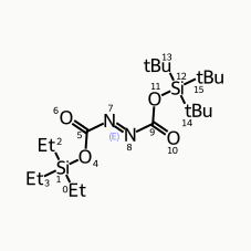 CC[Si](CC)(CC)OC(=O)/N=N/C(=O)O[Si](C(C)(C)C)(C(C)(C)C)C(C)(C)C